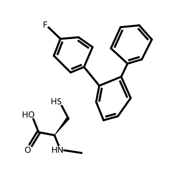 CN[C@H](CS)C(=O)O.Fc1ccc(-c2ccccc2-c2ccccc2)cc1